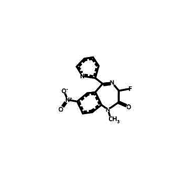 CN1C(=O)C(F)N=C(c2ccccn2)c2cc([N+](=O)[O-])ccc21